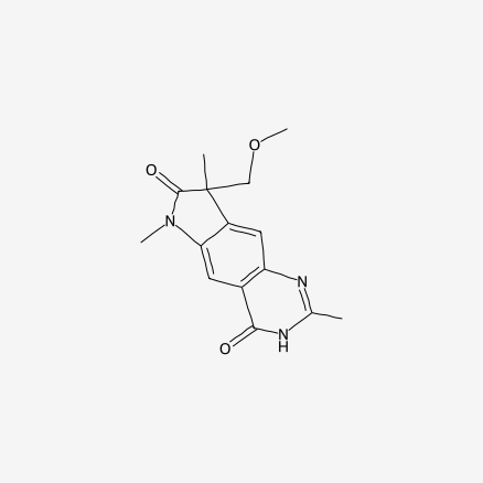 COCC1(C)C(=O)N(C)c2cc3c(=O)[nH]c(C)nc3cc21